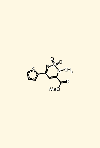 COC(=O)C1=CC(c2cccs2)=NS(=O)(=O)N1C